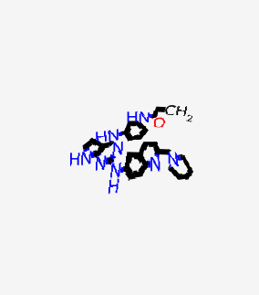 C=CC(=O)Nc1cccc(Nc2nc(Nc3ccc4nc(CN5CCCCC5)ccc4c3)nc3[nH]ccc23)c1